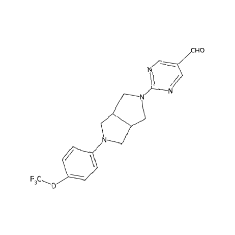 O=Cc1cnc(N2CC3CN(c4ccc(OC(F)(F)F)cc4)CC3C2)nc1